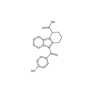 O=C(O)C1CCCc2c1c1ccccc1n2C(=O)c1ccc(O)cc1